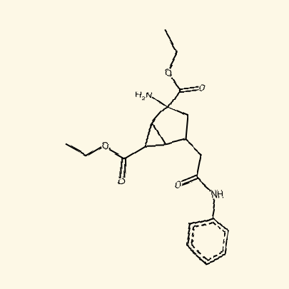 CCOC(=O)C1C2C(CC(=O)Nc3ccccc3)CC(N)(C(=O)OCC)C12